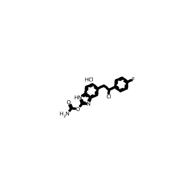 Cl.NC(=O)Oc1nc2cc(CC(Cl)c3ccc(F)cc3)ccc2[nH]1